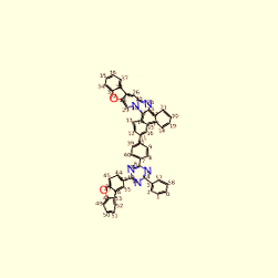 c1ccc(-c2nc(-c3ccc(-c4ccc5c(c4)c4ccccc4c4nc6cc7c(cn6c54)oc4ccccc47)cc3)nc(-c3ccc4oc5ccccc5c4c3)n2)cc1